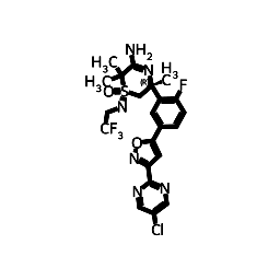 CC1(C)C(N)=N[C@](C)(c2cc(-c3cc(-c4ncc(Cl)cn4)no3)ccc2F)CS1(=O)=NCC(F)(F)F